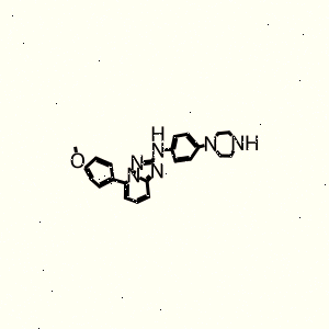 COc1ccc(-c2cccc3nc(Nc4ccc(N5CCNCC5)cc4)nn23)cc1